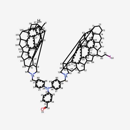 Cc1c2c3c4c5c6c7c8c9c%10c%11c%12c%13c(c-3c%11c84)C3C2CN(Cc2ccc(N(c4ccc(C=O)cc4)c4ccc(CN8CC%11%14CC%15CCC%16c%17c%15c%15c%18c%19c%17c%17c%20c%21c%22c%23c%24c%25c%26c(c-%18c%24c%21%19)C(C%15%11)C%14(C8)C%26CCC%25CC%23CC%22C(CCI)C%20CC%17%16)cc4)cc2)CC32CCCC(c15)[C@H](C6)CC7CC9CC%10C%12CC%13C2